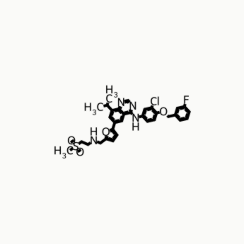 CC(C)c1cc(-c2ccc(CNCCS(C)(=O)=O)o2)cc2c(Nc3ccc(OCc4cccc(F)c4)c(Cl)c3)ncnc12